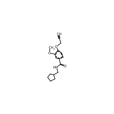 C#CCOc1ccc(C(=O)NCC2CCCC2)cc1OC